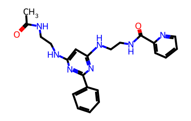 CC(=O)NCCNc1cc(NCCNC(=O)c2ccccn2)nc(-c2ccccc2)n1